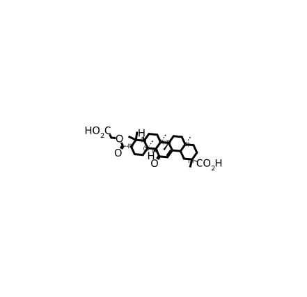 CC1(C)[C@@H](C(=O)OCC(=O)O)CC[C@]2(C)[C@H]3C(=O)C=C4C5C[C@@](C)(C(=O)O)CC[C@]5(C)CC[C@@]4(C)[C@]3(C)CC[C@@H]12